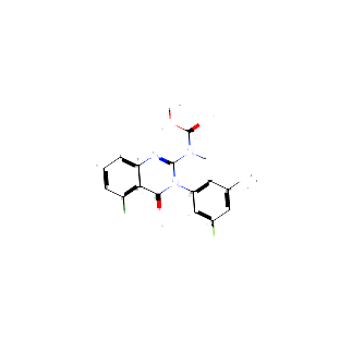 CCN(C(=O)OC(C)(C)C)c1nc2cccc(Cl)c2c(=O)n1-c1cc(F)cc(C#N)c1